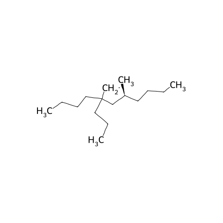 [CH2]C(CCC)(CCCC)C[C@@H](C)CCCC